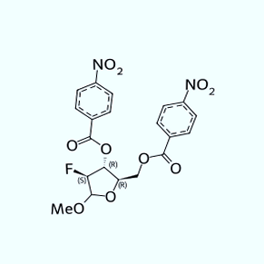 COC1O[C@H](COC(=O)c2ccc([N+](=O)[O-])cc2)[C@@H](OC(=O)c2ccc([N+](=O)[O-])cc2)[C@@H]1F